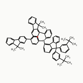 CC(C)(C)c1cccc(C2(c3cccc(C(C)(C)C)c3)c3ccccc3-c3c(N(c4ccc(-c5ccc6c(c5)C(C)(C)c5ccccc5-6)cc4)c4ccccc4-c4cccc5c4C(C)(C)c4ccccc4-5)cccc32)c1